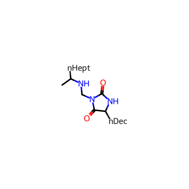 CCCCCCCCCCC1NC(=O)N(CNC(C)CCCCCCC)C1=O